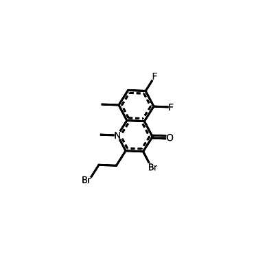 Cc1cc(F)c(F)c2c(=O)c(Br)c(CCBr)n(C)c12